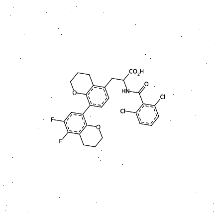 O=C(NC(Cc1ccc(-c2cc(F)c(F)c3c2OCCC3)c2c1CCCO2)C(=O)O)c1c(Cl)cccc1Cl